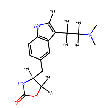 [2H]c1[nH]c2ccc(C[C@]3([2H])NC(=O)OC3([2H])[2H])cc2c1C([2H])([2H])C([2H])([2H])N(C)C